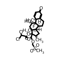 C[C@@H]1C[C@H]2[C@@H]3CCC4=CC(=O)C=C[C@]4(C)[C@@]3(F)[C@@H](O)C[C@]2(C)[C@@]1(OC(=O)C(Cl)Cl)C(=O)OCS(C)(=O)=O